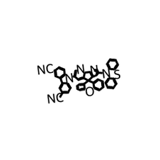 N#Cc1ccc2c(c1)c1cc(C#N)ccc1n2-c1cnc2c(c1)C1(c3ccccc3Oc3ccccc31)c1cc(N3c4ccccc4Sc4ccccc43)cnc1-2